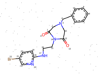 O=C1CN(Cc2ccccc2)CC(=O)N1CCNc1ccc(Br)cn1